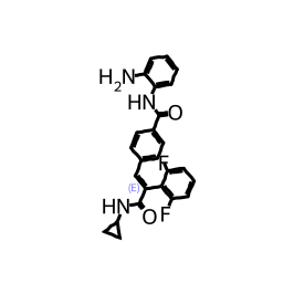 Nc1ccccc1NC(=O)c1ccc(/C=C(/C(=O)NC2CC2)c2c(F)cccc2F)cc1